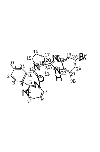 Cc1ccc(-c2ncccn2)c(C(=O)N2CCC[C@@]2(C)c2nc3cc(Br)cc(C)c3[nH]2)c1